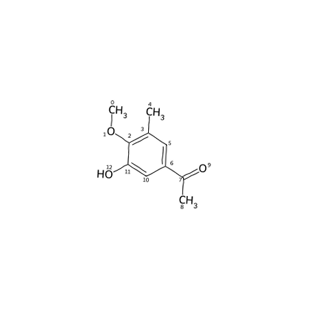 COc1c(C)cc(C(C)=O)cc1O